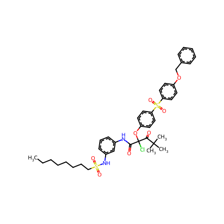 CCCCCCCCS(=O)(=O)Nc1cccc(NC(=O)C(Cl)(Oc2ccc(S(=O)(=O)c3ccc(OCc4ccccc4)cc3)cc2)C(=O)C(C)(C)C)c1